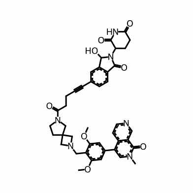 COc1cc(-c2cn(C)c(=O)c3cnccc23)cc(OC)c1CN1CC2(CCN(C(=O)CCC#Cc3ccc4c(c3)C(O)N(C3CCC(=O)NC3=O)C4=O)C2)C1